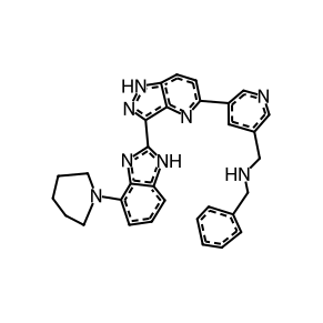 c1ccc(CNCc2cncc(-c3ccc4[nH]nc(-c5nc6c(N7CCCCC7)cccc6[nH]5)c4n3)c2)cc1